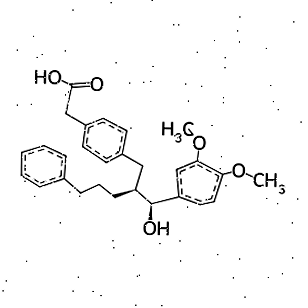 COc1ccc([C@@H](O)[C@@H](CCCc2ccccc2)Cc2ccc(CC(=O)O)cc2)cc1OC